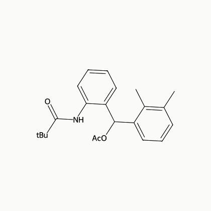 CC(=O)OC(c1ccccc1NC(=O)C(C)(C)C)c1cccc(C)c1C